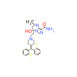 CC1=Nc2c(C(N)=O)ncn2C(O)(CCN2CCC(=C(c3ccccc3F)c3ccccc3F)CC2)C1